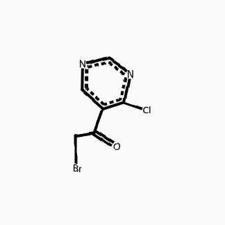 O=C(CBr)c1cncnc1Cl